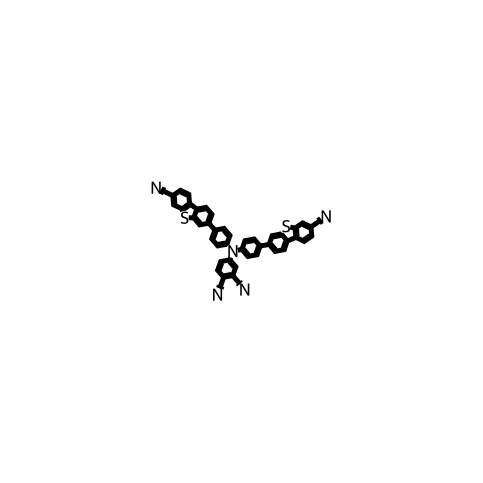 N#Cc1ccc2c(c1)sc1cc(-c3ccc(N(c4ccc(-c5ccc6c(c5)sc5cc(C#N)ccc56)cc4)c4ccc(C#N)c(C#N)c4)cc3)ccc12